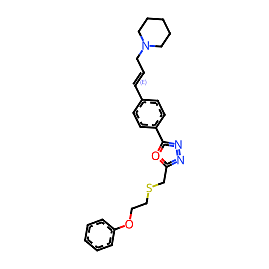 C(=C\c1ccc(-c2nnc(CSCCOc3ccccc3)o2)cc1)/CN1CCCCC1